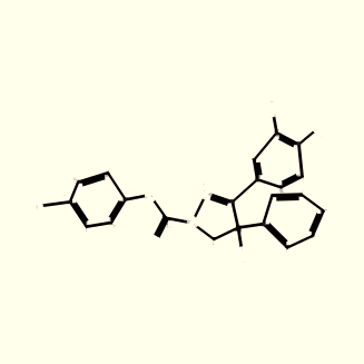 CC(=O)C1(c2ccccc2)CN(C(=O)Nc2ccc(Br)cc2)N=C1c1ccc(C(F)(F)F)c(Cl)c1